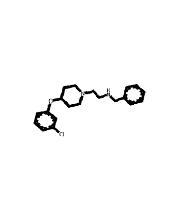 Clc1cccc(OC2CCN(CCNCc3ccccc3)CC2)c1